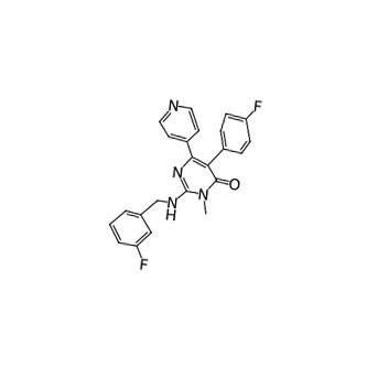 Cn1c(NCc2cccc(F)c2)nc(-c2ccncc2)c(-c2ccc(F)cc2)c1=O